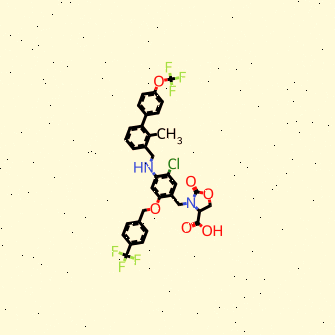 Cc1c(CNc2cc(OCc3ccc(C(F)(F)F)cc3)c(CN3C(=O)OCC3C(=O)O)cc2Cl)cccc1-c1ccc(OC(F)(F)F)cc1